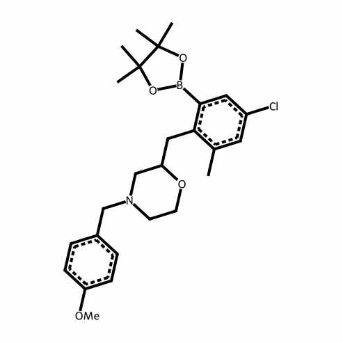 COc1ccc(CN2CCOC(Cc3c(C)cc(Cl)cc3B3OC(C)(C)C(C)(C)O3)C2)cc1